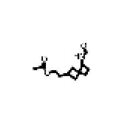 CC(=O)OCCC1CC2(CCC2NC=O)C1